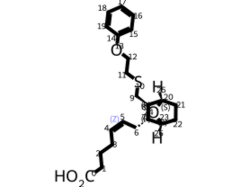 O=C(O)CCC/C=C\C[C@@H]1[C@@H](CSCCOc2ccccc2)[C@@H]2CC[C@H]1O2